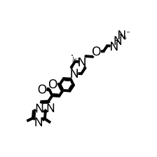 Cc1cn2cc(-c3cc4ccc(N5CCN(CCOCCN=[N+]=[N-])[C@@H](C)C5)cc4oc3=O)nc2c(C)n1